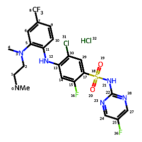 CNCCN(C)c1cc(C(F)(F)F)ccc1Nc1cc(F)c(S(=O)(=O)Nc2ncc(F)cn2)cc1Cl.Cl